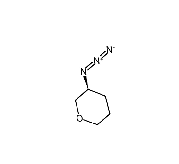 [N-]=[N+]=N[C@H]1CCCOC1